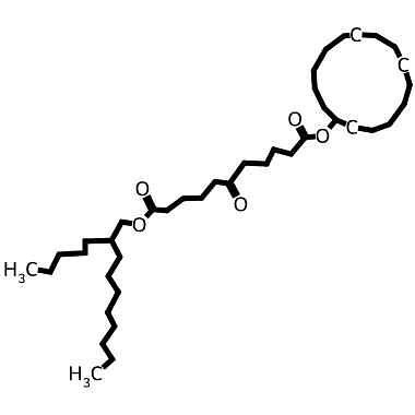 CCCCCCCCC(CCCCC)COC(=O)CCCCC(=O)CCCCC(=O)OC1CCCCCCCCCCCCCC1